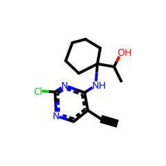 C#Cc1cnc(Cl)nc1NC1(C(C)O)CCCCC1